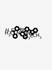 CC1(C)c2ccccc2N2c3cc4ccccc4c(-c4cccc5c6c([nH]c45)C(C)(C)c4ccccc4-6)c3Bc3cccc1c32